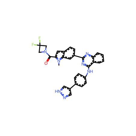 Cn1c(C(=O)N2CC(F)(F)C2)cc2ccc(-c3nc(Nc4ccc(-c5cn[nH]c5)cc4)c4ccccc4n3)cc21